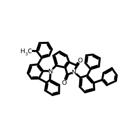 Cc1ccccc1-c1cccc2c3ccccc3n(-c3cccc4c3C(=O)N(c3cccc(-c5ccccc5)c3-c3ccccc3)C4=O)c12